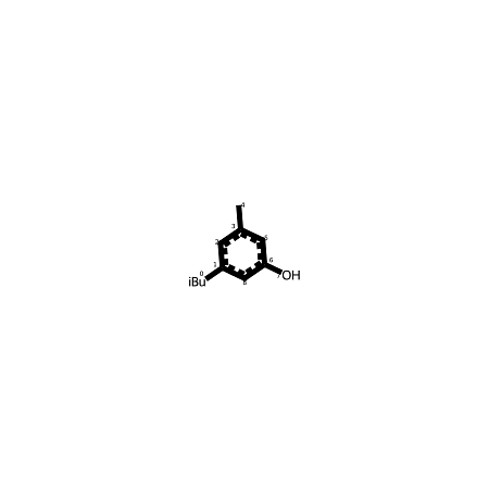 CCC(C)c1cc(C)cc(O)c1